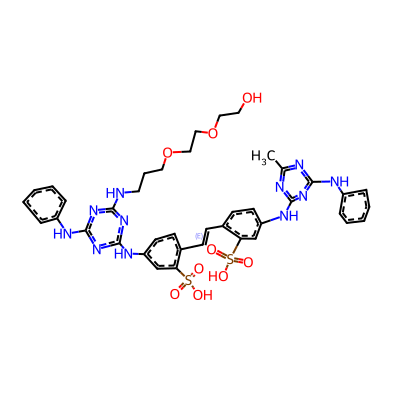 Cc1nc(Nc2ccccc2)nc(Nc2ccc(/C=C/c3ccc(Nc4nc(NCCCOCCOCCO)nc(Nc5ccccc5)n4)cc3S(=O)(=O)O)c(S(=O)(=O)O)c2)n1